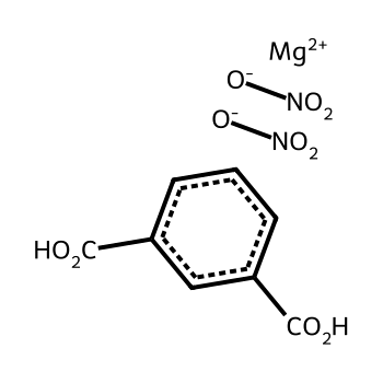 O=C(O)c1cccc(C(=O)O)c1.O=[N+]([O-])[O-].O=[N+]([O-])[O-].[Mg+2]